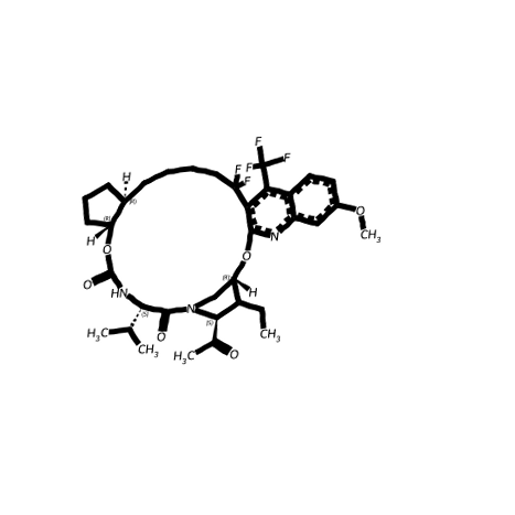 CCC1[C@@H]2CN(C(=O)[C@H](C(C)C)NC(=O)O[C@@H]3CCC[C@H]3CCCCC(F)(F)c3c(nc4cc(OC)ccc4c3C(F)(F)F)O2)[C@@H]1C(C)=O